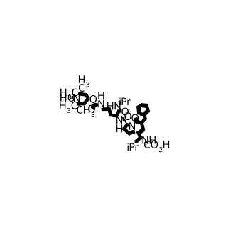 CC(C)CC(/C=C/C(Cc1ccccc1)C(=O)N1CCC[C@H]1C(=O)NC(CCCNC(=O)OC1CC(C)(C)N(O)C(C)(C)C1)C(=O)NC(C)C)NC(=O)O